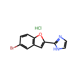 Brc1ccc2oc(-c3ncc[nH]3)cc2c1.Cl